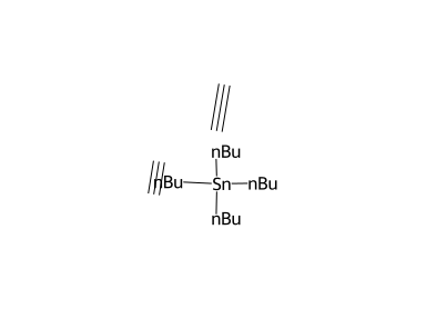 C#C.C#C.CCC[CH2][Sn]([CH2]CCC)([CH2]CCC)[CH2]CCC